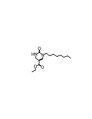 CCCCCCCCN1C=C(C(=O)OCC)CNC1=O